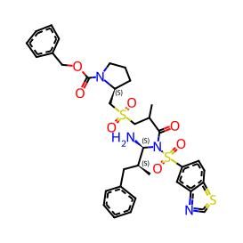 CC(CS(=O)(=O)C[C@@H]1CCCN1C(=O)OCc1ccccc1)C(=O)N([C@H](N)[C@@H](C)Cc1ccccc1)S(=O)(=O)c1ccc2scnc2c1